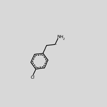 N[CH]Cc1ccc(Cl)cc1